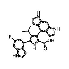 CC(C)c1c(-c2cc(F)cc3[nH]ccc23)[nH]c(C(=O)O)c1-c1c2cc[nH]c2cc2[nH]ccc12